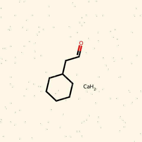 O=CCC1CCCCC1.[CaH2]